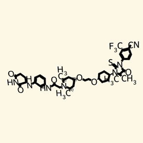 C[C@@H]1C[C@H](OCCO[C@H]2CC[C@H](N3C(=S)N(c4ccc(C#N)c(C(F)(F)F)c4)C(=O)C3(C)C)CC2)C[C@H](C)N1CC(=O)Nc1cccc(NC2CCC(=O)NC2=O)c1